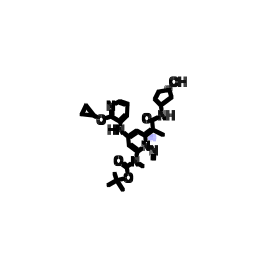 C=NN1C(N(C)C(=O)OC(C)(C)C)=CC(Nc2cccnc2OC2CC2)=C/C1=C(/C)C(=O)NC1CC[C@H](O)C1